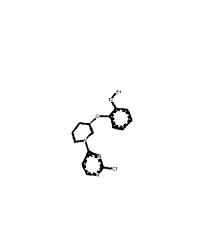 CCOc1ccccc1O[C@@H]1CCCN(c2ccnc(Cl)n2)C1